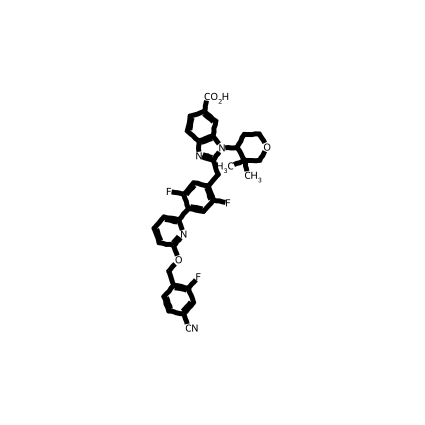 CC1(C)COCCC1n1c(Cc2cc(F)c(-c3cccc(OCc4ccc(C#N)cc4F)n3)cc2F)nc2ccc(C(=O)O)cc21